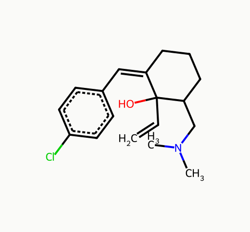 C=CC1(O)/C(=C\c2ccc(Cl)cc2)CCCC1CN(C)C